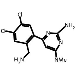 CNc1cc(-c2cc(Cl)c(Cl)cc2CN)nc(N)n1